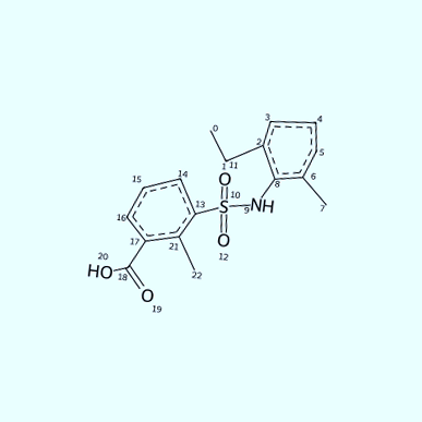 CCc1cccc(C)c1NS(=O)(=O)c1cccc(C(=O)O)c1C